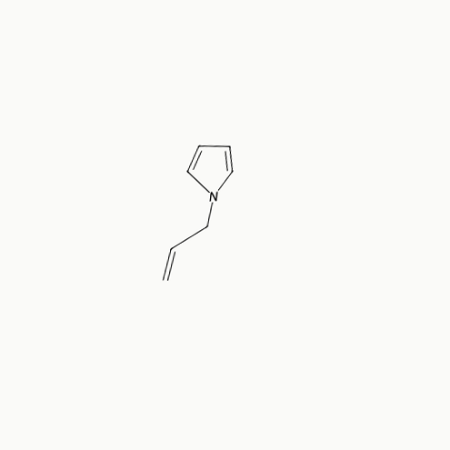 C=CCn1cccc1